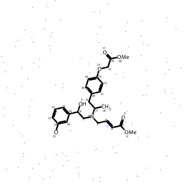 COC(=O)/C=C/CN(CC(O)c1cccc(Cl)c1)C(C)Cc1ccc(OCC(=O)OC)cc1